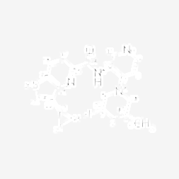 C[C@@H]1C[C@H](I)CN(c2ccncc2NC(=O)c2ccc3scc(C4CC4)c3n2)C1